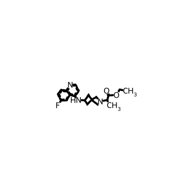 CCOC(=O)C(C)N1CC2(CC(Nc3ccnc4ccc(F)cc34)C2)C1